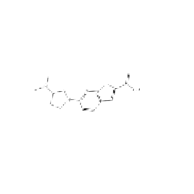 CN(C)C1CCN(c2ccc3cc(C(=O)O)sc3n2)C1